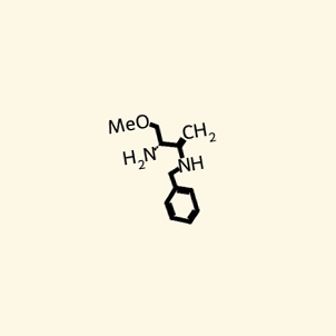 C=C(NCc1ccccc1)[C@H](N)COC